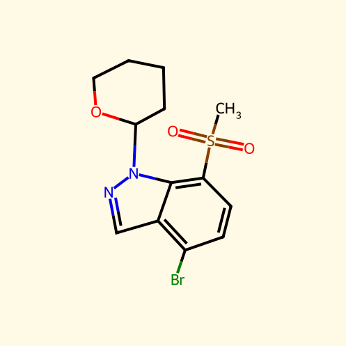 CS(=O)(=O)c1ccc(Br)c2cnn(C3CCCCO3)c12